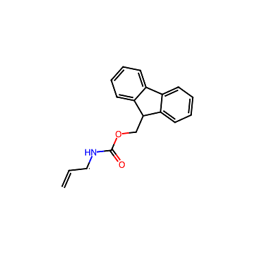 C=C[CH]NC(=O)OCC1c2ccccc2-c2ccccc21